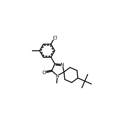 Cc1cc(Cl)cc(C2=NC3(CCC(C(C)(C)C)CC3)N(C)C2=O)c1